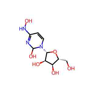 OC[C@H]1O[C@@H](N2C=CC(NO)=NC2O)[C@H](O)[C@@H]1O